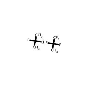 CC(F)(Cl)C(Cl)(Cl)Cl.CC(F)(F)C(F)(F)F